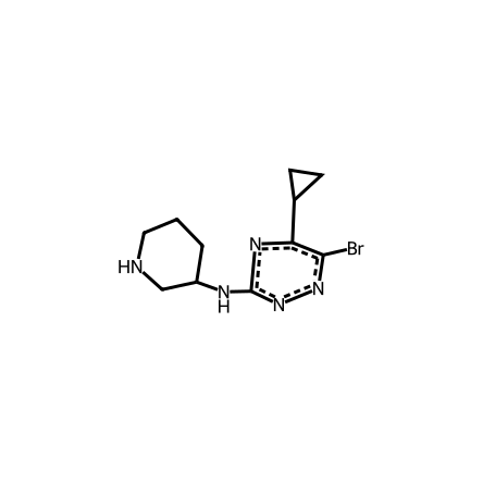 Brc1nnc(NC2CCCNC2)nc1C1CC1